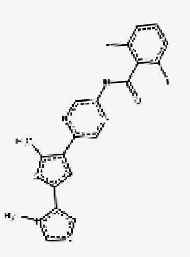 Cc1sc(-c2cncn2C)cc1-c1cnc(NC(=O)c2c(F)cccc2F)cn1